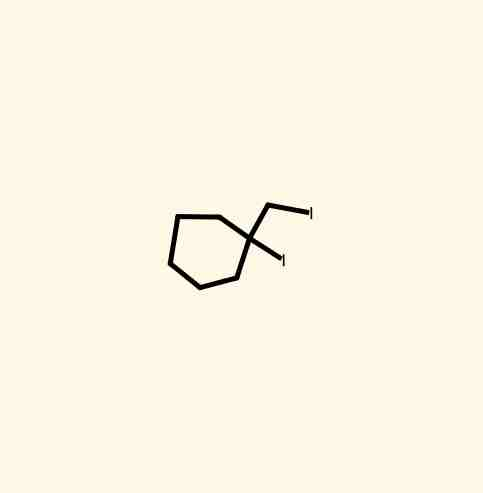 ICC1(I)CCCCC1